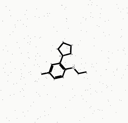 CCOc1ccc(C)cc1C1CCCC1